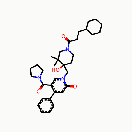 CC1(C)CN(C(=O)CCC2CCCCC2)CCC1(O)Cn1cc(C(=O)N2CCCC2)c(-c2ccccc2)cc1=O